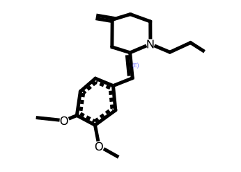 C=C1CCN(CCC)/C(=C/c2ccc(OC)c(OC)c2)C1